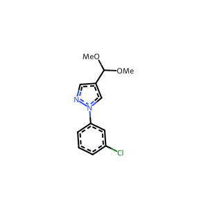 COC(OC)c1cnn(-c2cccc(Cl)c2)c1